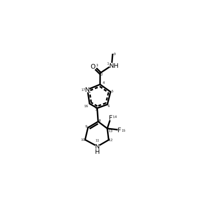 CNC(=O)c1ccc(C2=CCNCC2(F)F)cn1